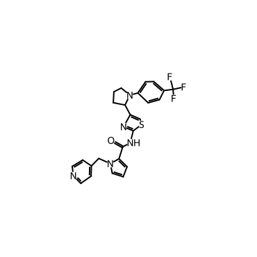 O=C(Nc1nc(C2CCCN2c2ccc(C(F)(F)F)cc2)cs1)c1cccn1Cc1ccncc1